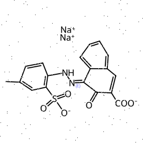 Cc1ccc(N/N=C2/C(=O)C(C(=O)[O-])=Cc3ccccc32)c(S(=O)(=O)[O-])c1.[Na+].[Na+]